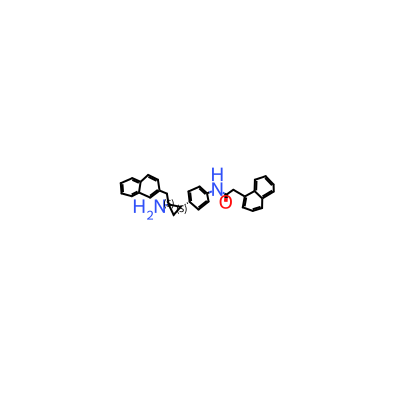 N[C@]1(Cc2ccc3ccccc3c2)C[C@H]1c1ccc(NC(=O)Cc2cccc3ccccc23)cc1